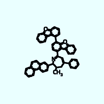 CC1CC(c2ccccc2)=CC(c2ccc(-c3cccc4oc5ccccc5c34)c3oc4ccccc4c23)=NC1c1ccc2c(ccc3ccccc32)c1